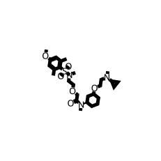 COc1cc(C)c(S(=O)(=O)N(C)CCOCC(=O)N(C)[C@@H]2CCCC(OCCN(C)C3CC3)C2)c(C)c1